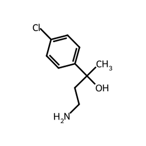 CC(O)(CCN)c1ccc(Cl)cc1